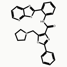 O=C(Nc1ccccc1-c1nc2cccnc2s1)c1nc(-c2ccccc2)oc1CN1CCCC1